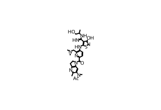 CC(=O)N(C)c1cc2c(nc1C)CCN2C(=O)c1ccc(Nc2snc(O)c2C(=N)NC(C)CO)c(CN(C)C)n1